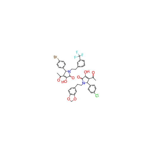 CC(=O)C1=C(O)C(=O)N(CCc2ccc3c(c2)OCO3)C1c1ccc(Cl)cc1.CC(=O)C1=C(O)C(=O)N(CCc2cccc(C(F)(F)F)c2)C1c1ccc(Br)cc1